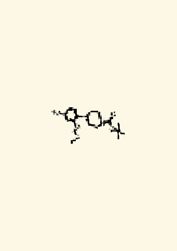 COCOc1cc(O)ccc1N1CCN(C(=O)OC(C)(C)C)CC1